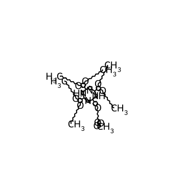 CCCCCCCCCCOc1cc(OCCCCCCCCCC)cc(-c2c3nc(c(-c4cc(OCCCCCCCCCC)cc(OCCCCCCCCCC)c4)c4ccc([nH]4)c(-c4cc(OCCCCCCCCCC)cc(OCCCCCCCCCC)c4)c4nc(c(-c5ccc(OCCCCCCOS(C)(=O)=O)cc5)c5ccc2[nH]5)C=C4)C=C3)c1